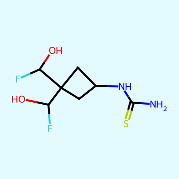 NC(=S)NC1CC(C(O)F)(C(O)F)C1